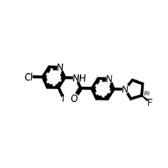 O=C(Nc1ncc(Cl)cc1I)c1ccc(N2CC[C@@H](F)C2)nc1